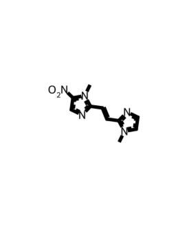 Cn1ccnc1/C=C/c1ncc([N+](=O)[O-])n1C